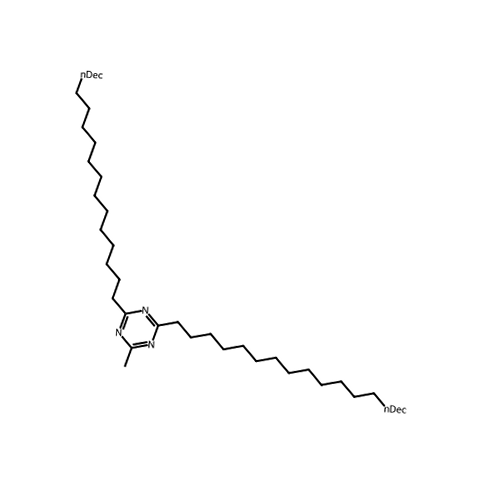 CCCCCCCCCCCCCCCCCCCCCCCc1nc(C)nc(CCCCCCCCCCCCCCCCCCCCCCC)n1